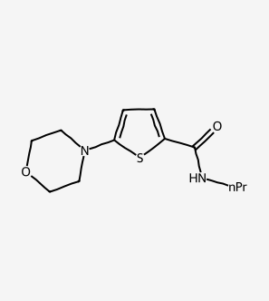 CCCNC(=O)c1ccc(N2CCOCC2)s1